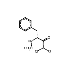 O=C(O)N[C@H](Cc1ccccc1)C(=O)C(Cl)Cl